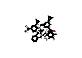 N#Cc1ccccc1CN(CC(=O)N(Cc1cc(C2CC2)cc(C2CC2)c1)c1ccc(C(=O)O)cc1C1CC1)S(=O)(=O)c1c(F)c(F)c(F)c(F)c1Br